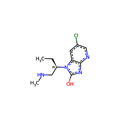 CC[C@H](CNC)n1c(O)nc2ncc(Cl)cc21